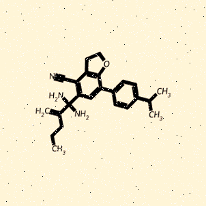 C=C(CCC)C(N)(N)c1cc(-c2ccc(C(C)C)cc2)c2c(c1C#N)CCO2